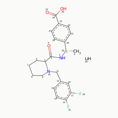 C[C@H](NC(=O)C1CCCCN1Cc1ccc(F)c(F)c1)c1ccc(C(=O)O)cc1.[LiH]